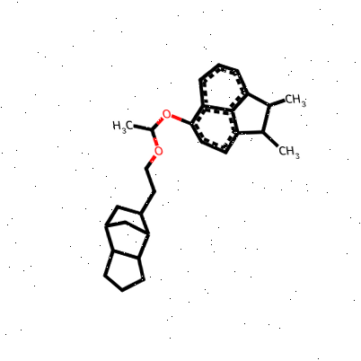 CC(OCCC1CC2CC1C1CCCC21)Oc1ccc2c3c(cccc13)C(C)C2C